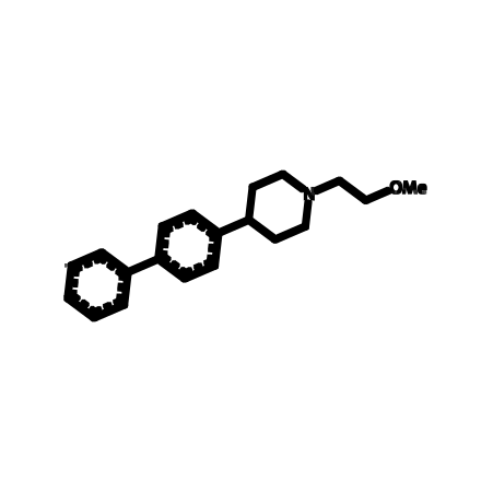 COCCN1CCC(c2ccc(-c3c[c]ccc3)cc2)CC1